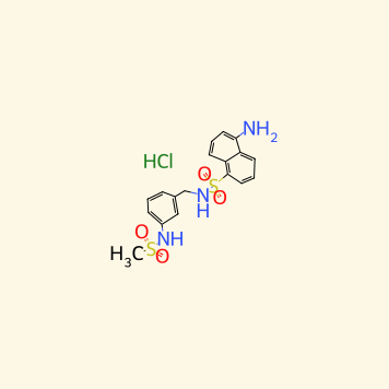 CS(=O)(=O)Nc1cccc(CNS(=O)(=O)c2cccc3c(N)cccc23)c1.Cl